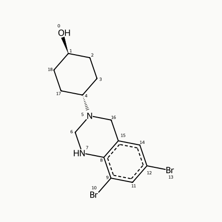 O[C@H]1CC[C@H](N2CNc3c(Br)cc(Br)cc3C2)CC1